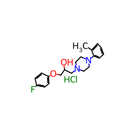 Cc1ccccc1N1CCN(CC(O)COc2ccc(F)cc2)CC1.Cl